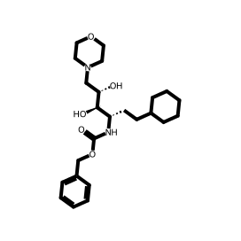 O=C(N[C@@H](CCC1CCCCC1)[C@@H](O)[C@@H](O)CN1CCOCC1)OCc1ccccc1